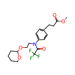 COC(=O)CCc1ccc(N(CCOC2CCCCO2)C(=O)C(F)(F)F)cc1